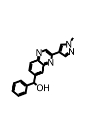 Cn1cc(-c2cnc3ccc(C(O)c4ccccc4)cc3n2)cn1